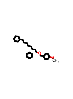 COc1ccc(COCCCCCCCCc2c[c]ccc2)cc1.[c]1ccccc1